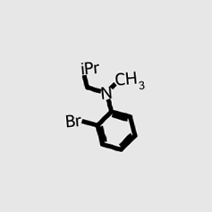 CC(C)CN(C)c1ccccc1Br